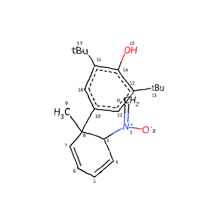 C=[N+]([O-])C1C=CC=CC1(C)c1cc(C(C)(C)C)c(O)c(C(C)(C)C)c1